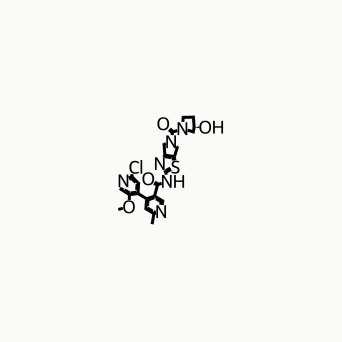 COc1cnc(Cl)cc1-c1cc(C)ncc1C(=O)Nc1nc2c(s1)CN(C(=O)N1CC[C@H](O)C1)C2